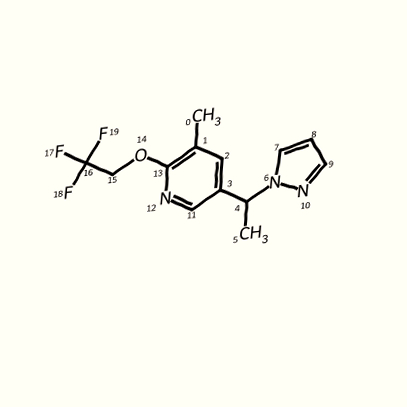 Cc1cc(C(C)n2cccn2)cnc1OCC(F)(F)F